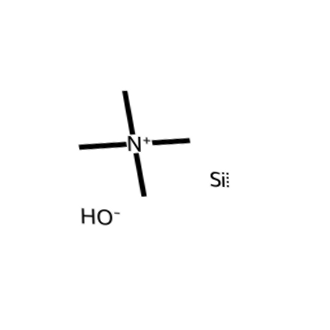 C[N+](C)(C)C.[OH-].[Si]